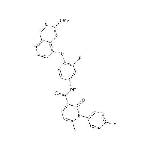 COc1cc2c(Oc3ccc(NC(=O)c4ccc(C)n(-c5ccc(F)cc5)c4=O)cc3F)ccnc2cn1